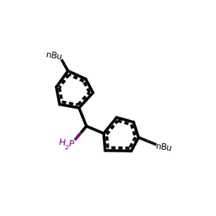 CCCCc1ccc(C(P)c2ccc(CCCC)cc2)cc1